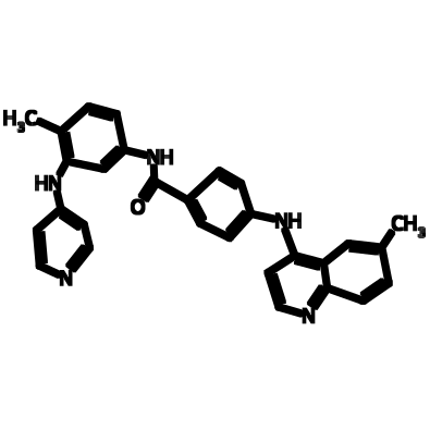 Cc1ccc2nccc(Nc3ccc(C(=O)Nc4ccc(C)c(Nc5ccncc5)c4)cc3)c2c1